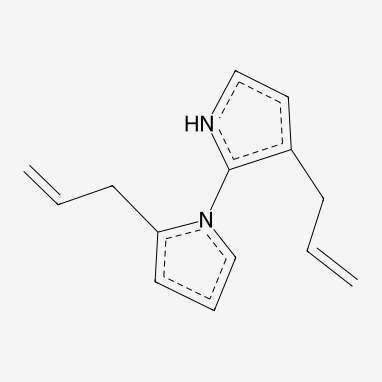 C=CCc1cc[nH]c1-n1cccc1CC=C